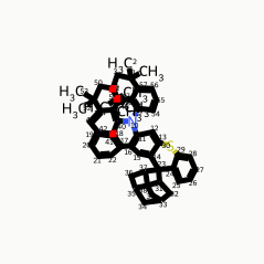 CC1(C)CCC(C)(C)c2c(N(c3cc4c(cc3-c3ccccc3)C3(c5ccccc5S4)C4CC5CC6CC3C64C5)c3cccc4c3C(C)(C)CCC4(C)C)cccc21